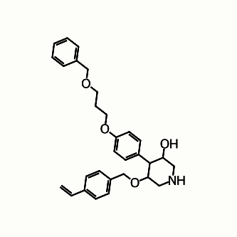 C=Cc1ccc(COC2CNCC(O)C2c2ccc(OCCCOCc3ccccc3)cc2)cc1